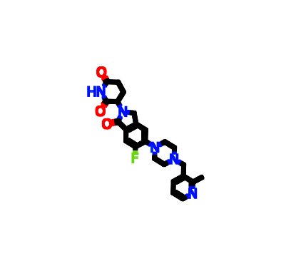 Cc1ncccc1CN1CCN(c2cc3c(cc2F)C(=O)N(C2CCC(=O)NC2=O)C3)CC1